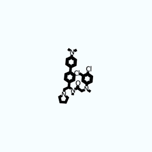 CN(C)c1ccc(-c2ccc(C(CN3CCCC3)N(C)C(=O)CN(C)c3ccc(Cl)c(Cl)c3)cc2)cc1